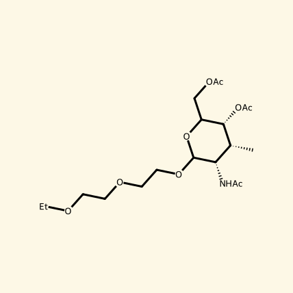 CCOCCOCCOC1OC(COC(C)=O)[C@H](OC(C)=O)[C@H](C)[C@@H]1NC(C)=O